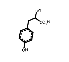 CCCC(Cc1ccc(O)cc1)C(=O)O